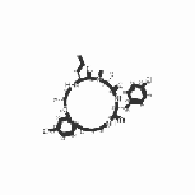 CCC[C@@H]1NC[C@@H](C)Oc2cc(Cl)ccc2CCCNC(=O)[C@@H](Cc2ccc(Cl)cc2)NC(=O)[C@@H](C)N(C)C1=O